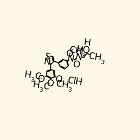 COc1cc(-c2nscc2-c2cccc(N(OC)C(=O)NCC(C)O)c2)cc(OC)c1OC.Cl